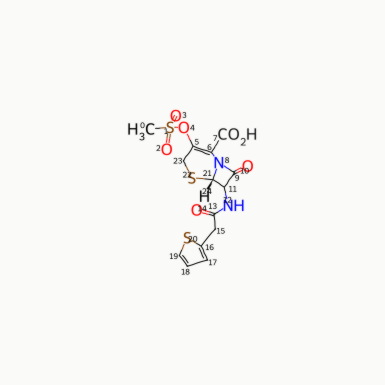 CS(=O)(=O)OC1=C(C(=O)O)N2C(=O)C(NC(=O)Cc3cccs3)[C@@H]2SC1